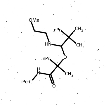 CCCC(C)NC(=O)C(C)(CCC)OC(NCCOC)C(C)(C)CCC